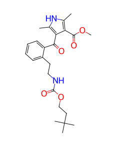 COC(=O)c1c(C)[nH]c(C)c1C(=O)c1ccccc1CCNC(=O)OCCC(C)(C)C